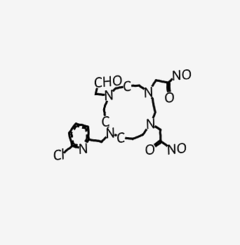 O=CCN1CCCN(CC(=O)N=O)CCN(CC(=O)N=O)CCCN(Cc2cccc(Cl)n2)CC1